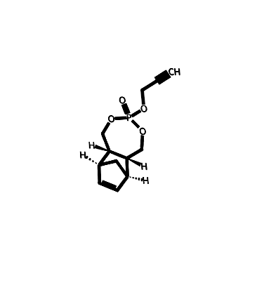 C#CCOP1(=O)OC[C@@H]2[C@H](CO1)[C@H]1C=C[C@@H]2C1